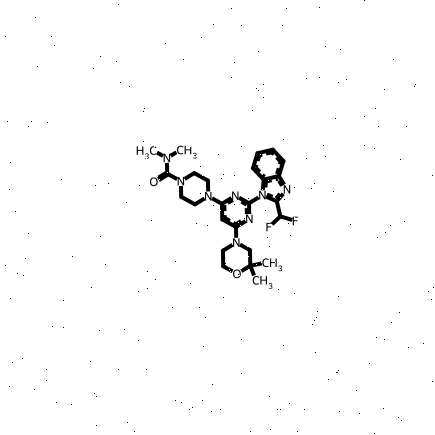 CN(C)C(=O)N1CCN(c2cc(N3CCOC(C)(C)C3)nc(-n3c(C(F)F)nc4ccccc43)n2)CC1